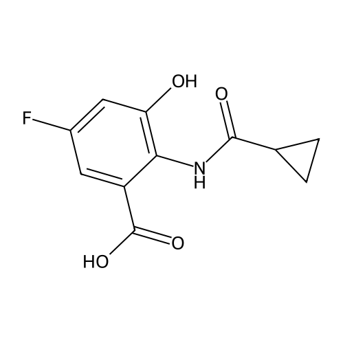 O=C(O)c1cc(F)cc(O)c1NC(=O)C1CC1